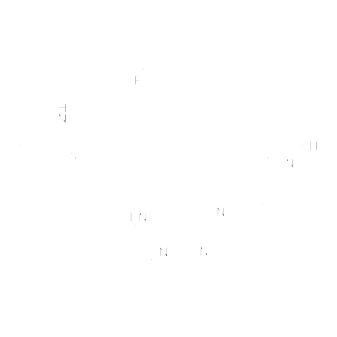 CN1CCC(Cn2cc(C#Cc3cc(F)cc(C(=O)NC4CC4)c3)c3c(N)ncnc32)CC1